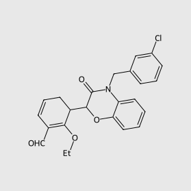 CCOC1=C(C=O)C=CCC1C1Oc2ccccc2N(Cc2cccc(Cl)c2)C1=O